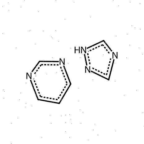 c1cncnc1.c1nc[nH]n1